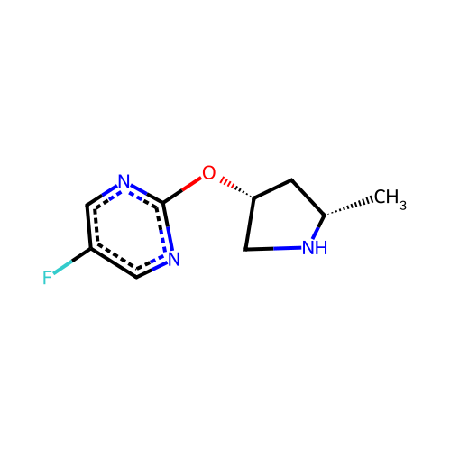 C[C@H]1C[C@@H](Oc2ncc(F)cn2)CN1